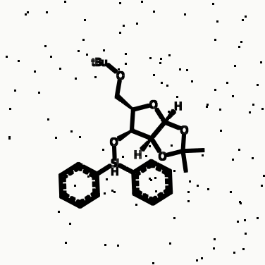 CC(C)(C)OC[C@H]1O[C@@H]2OC(C)(C)O[C@@H]2[C@H]1O[SiH](c1ccccc1)c1ccccc1